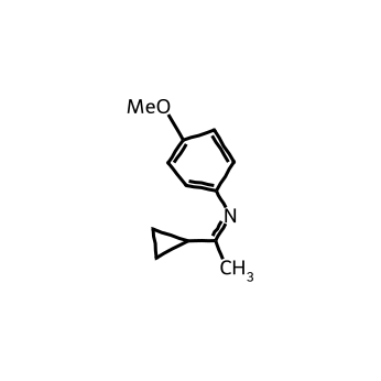 COc1ccc(N=C(C)C2CC2)cc1